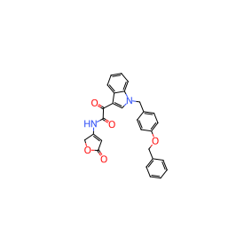 O=C1C=C(NC(=O)C(=O)c2cn(Cc3ccc(OCc4ccccc4)cc3)c3ccccc23)CO1